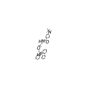 CN(c1ccc(C(=O)NCCC(C)(C)OCCC(C)(C)[PH](c2ccccc2)(c2ccccc2)c2ccccc2)cc1)C(C)(C)C